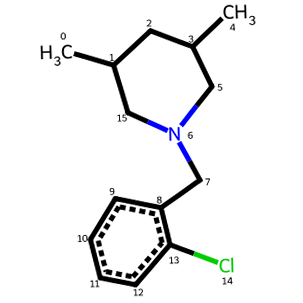 CC1CC(C)CN(Cc2ccccc2Cl)C1